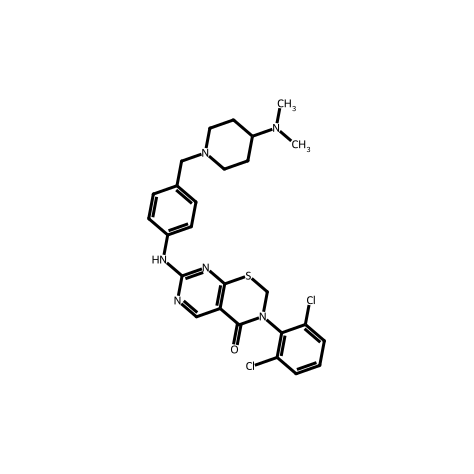 CN(C)C1CCN(Cc2ccc(Nc3ncc4c(n3)SCN(c3c(Cl)cccc3Cl)C4=O)cc2)CC1